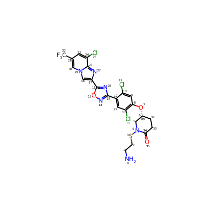 NCCSN1C[C@H](Oc2cc(Cl)c(-c3noc(-c4cn5cc(C(F)(F)F)cc(Cl)c5n4)n3)cc2Cl)CCC1=O